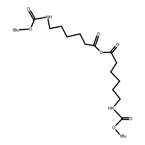 CC(C)(C)OC(=O)NCCCCCC(=O)OC(=O)CCCCCNC(=O)OC(C)(C)C